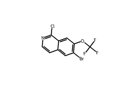 FC(F)(F)Oc1cc2c(Cl)nccc2cc1Br